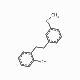 COc1cccc(CCc2ccccc2O)c1